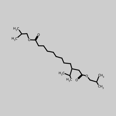 CC(C)COC(=O)CCCCCCCCC(CC(=O)OCC(C)C)C(C)C